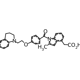 Cc1cc2c(CC(=O)O)cccc2n1C(=O)c1ccc(OCCN2CCCc3ccccc32)cc1